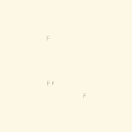 CC/C(F)=C\C(C)(C)F